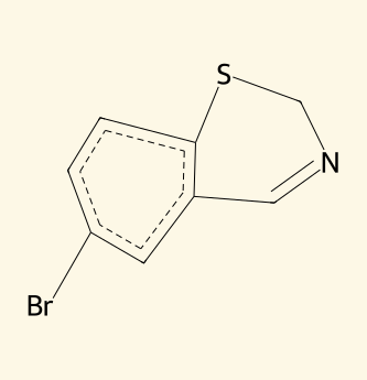 Brc1ccc2c(c1)C=NCS2